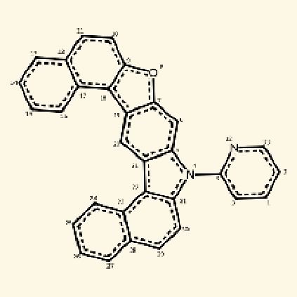 c1ccc(-n2c3cc4oc5ccc6ccccc6c5c4cc3c3c4ccccc4ccc32)nc1